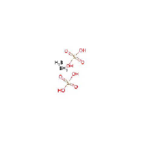 B.B.O=S(=O)(O)O.O=S(=O)(O)O